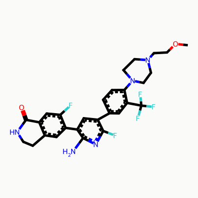 COCCN1CCN(c2ccc(-c3cc(-c4cc5c(cc4F)C(=O)NCC5)c(N)nc3F)cc2C(F)(F)F)CC1